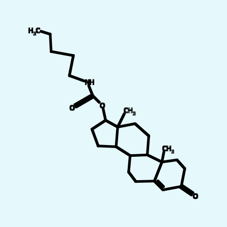 CCCCCNC(=O)OC1CCC2C3CCC4=CC(=O)CCC4(C)C3CCC12C